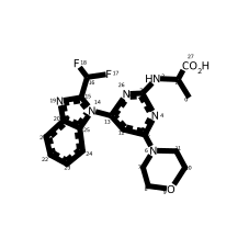 CC(Nc1nc(N2CCOCC2)cc(-n2c(C(F)F)nc3ccccc32)n1)C(=O)O